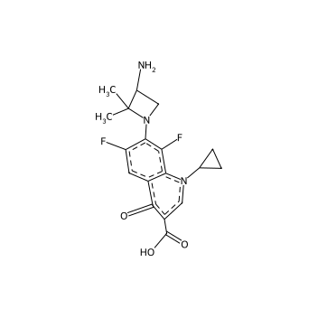 CC1(C)C(N)CN1c1c(F)cc2c(=O)c(C(=O)O)cn(C3CC3)c2c1F